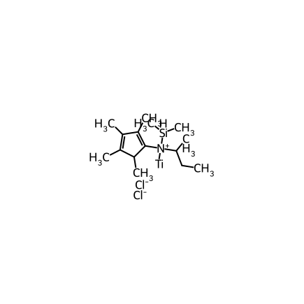 CCC(C)[N+]([Ti])(C1=C(C)C(C)=C(C)C1C)[SiH](C)C.[Cl-].[Cl-]